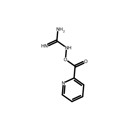 N=C(N)NOC(=O)c1ccccn1